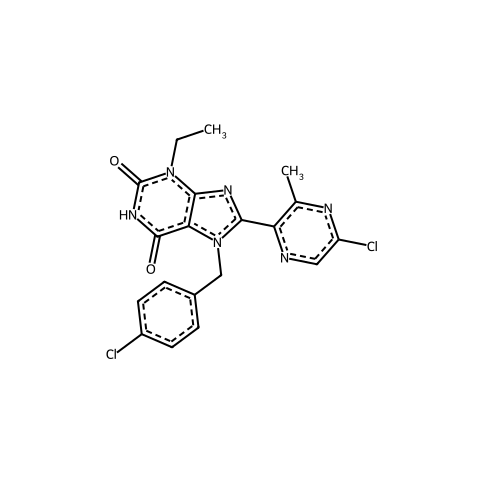 CCn1c(=O)[nH]c(=O)c2c1nc(-c1ncc(Cl)nc1C)n2Cc1ccc(Cl)cc1